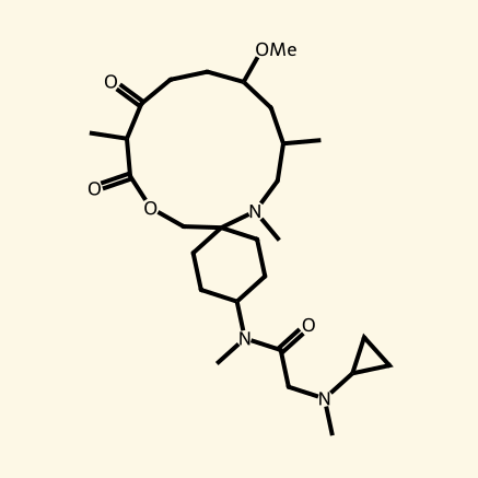 COC1CCC(=O)C(C)C(=O)OCC2(CCC(N(C)C(=O)CN(C)C3CC3)CC2)N(C)CC(C)C1